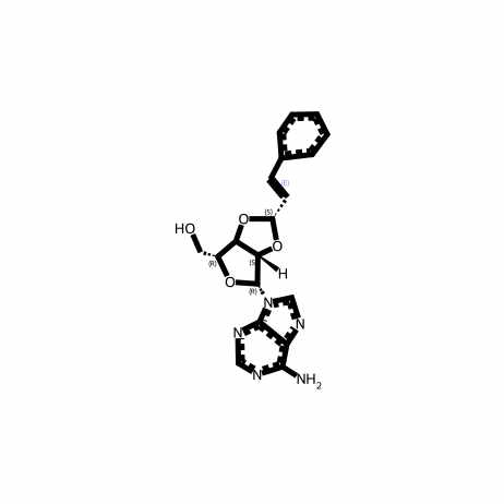 Nc1ncnc2c1ncn2[C@@H]1O[C@H](CO)C2O[C@H](/C=C/c3ccccc3)O[C@@H]21